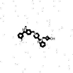 Cn1nc(-c2cccc(F)c2)c2ccc(CN3CCC(c4nc5ccccc5n4CC4CC(O)C4)CC3)cc21